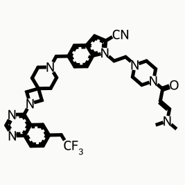 CN(C)/C=C/C(=O)N1CCN(CCn2c(C#N)cc3cc(CN4CCC5(CC4)CN(c4ncnc6ccc(CC(F)(F)F)cc46)C5)ccc32)CC1